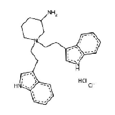 Cl.NC1CCC[N+](CCc2c[nH]c3ccccc23)(CCc2c[nH]c3ccccc23)C1.[Cl-]